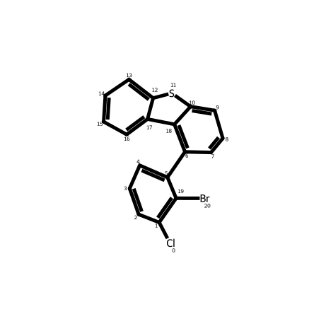 Clc1cccc(-c2cccc3sc4ccccc4c23)c1Br